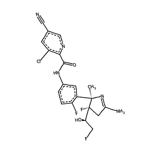 C[C@]1(c2cc(NC(=O)c3ncc(C#N)cc3Cl)ccc2F)N=C(N)C[C@@]1(F)[C@H](O)CF